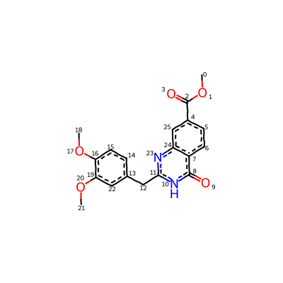 COC(=O)c1ccc2c(=O)[nH]c(Cc3ccc(OC)c(OC)c3)nc2c1